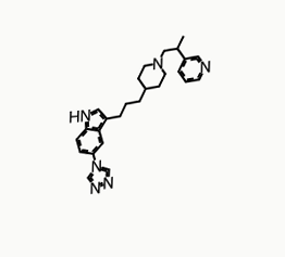 CC(CN1CCC(CCCc2c[nH]c3ccc(-n4cnnc4)cc23)CC1)c1cccnc1